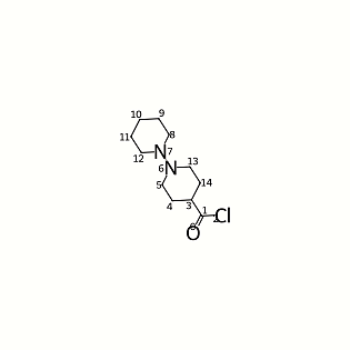 O=C(Cl)C1CCN(N2CCCCC2)CC1